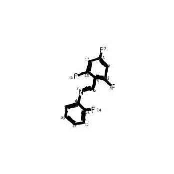 Fc1cc(F)c(/C=N/c2ccccc2F)c(F)c1